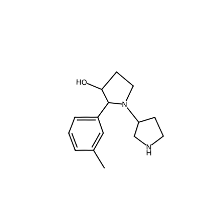 Cc1cccc(C2C(O)CCN2C2CCNC2)c1